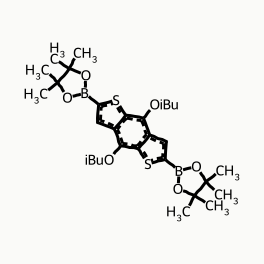 CC(C)COc1c2cc(B3OC(C)(C)C(C)(C)O3)sc2c(OCC(C)C)c2cc(B3OC(C)(C)C(C)(C)O3)sc12